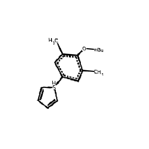 CCCCOc1c(C)cc([SH]2C=CC=C2)cc1C